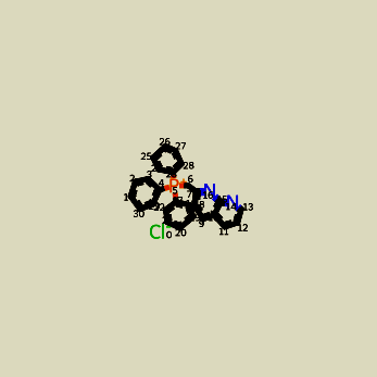 [Cl-].c1ccc([P+](Cc2ccc3cccnc3n2)(c2ccccc2)c2ccccc2)cc1